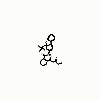 COC(=O)CC(=O)N1CCCCC1C(=O)NC1=CC=C(c2ccccc2)C(Cl)(OC(F)(F)F)C1